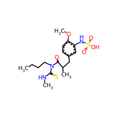 CCCCN(C(=O)C(C)Cc1ccc(OC)c(NS(=O)(=O)O)c1)C(=S)NC